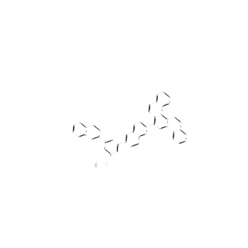 CC(C)Oc1cc(-c2ccc3ccccc3c2)cc(-c2ccc3cc(-c4cc5c6ccccc6ccc5c5c4ccc4ccccc45)ccc3c2)c1